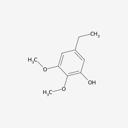 CCc1cc(O)c(OC)c(OC)c1